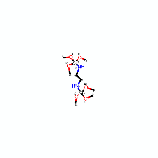 CO[Si](NCCN[Si](OC)(OC)OC)(OC)OC